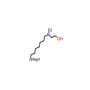 CCCCCCCCCCCCCCN(CC)CCO